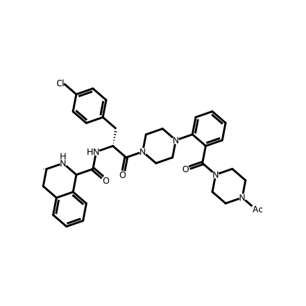 CC(=O)N1CCN(C(=O)c2ccccc2N2CCN(C(=O)[C@@H](Cc3ccc(Cl)cc3)NC(=O)C3N[CH]Cc4ccccc43)CC2)CC1